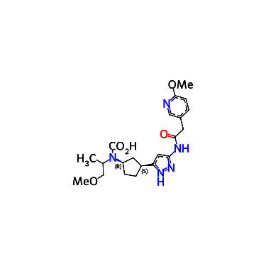 COCC(C)N(C(=O)O)[C@@H]1CC[C@H](c2cc(NC(=O)Cc3ccc(OC)nc3)n[nH]2)C1